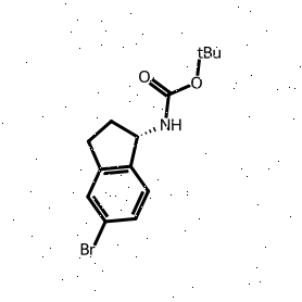 CC(C)(C)OC(=O)N[C@H]1CCc2cc(Br)ccc21